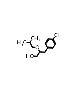 CC(C)COC(CO)Cc1ccc(Cl)cc1